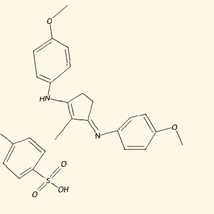 COc1ccc(/N=C2\CCC(Nc3ccc(OC)cc3)=C2C)cc1.Cc1ccc(S(=O)(=O)O)cc1